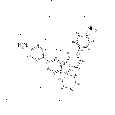 Nc1ccc(-c2ccc(C3(c4ccc(-c5ccc(N)cc5)cc4)CCCCC3)cc2)cc1